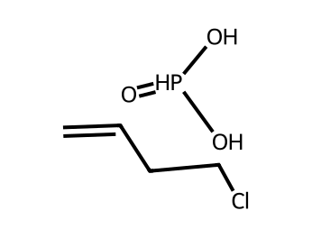 C=CCCCl.O=[PH](O)O